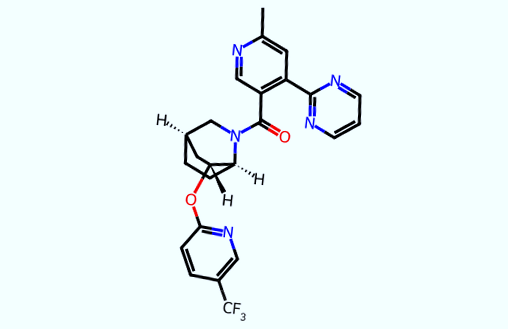 Cc1cc(-c2ncccn2)c(C(=O)N2C[C@@H]3CC[C@H]2[C@H](Oc2ccc(C(F)(F)F)cn2)C3)cn1